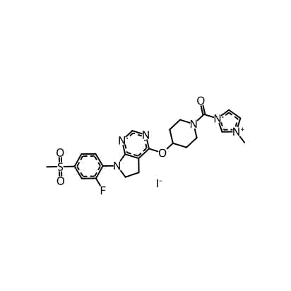 C[n+]1ccn(C(=O)N2CCC(Oc3ncnc4c3CCN4c3ccc(S(C)(=O)=O)cc3F)CC2)c1.[I-]